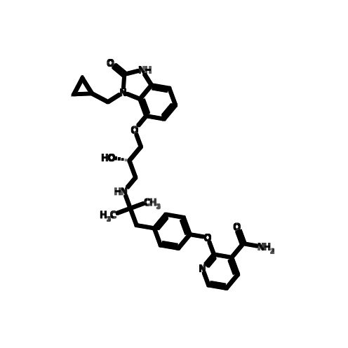 CC(C)(Cc1ccc(Oc2ncccc2C(N)=O)cc1)NC[C@H](O)COc1cccc2[nH]c(=O)n(CC3CC3)c12